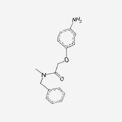 CN(Cc1ccccc1)C(=O)COc1ccc(N)cc1